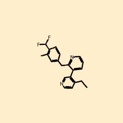 CCc1ccncc1-c1cccnc1Cc1ccc(C(F)F)c(C)c1